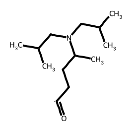 CC(C)CN(CC(C)C)C(C)CC[C]=O